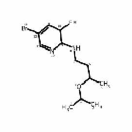 CC(C)OC(C)CCNC1N=CC(Br)=CC1F